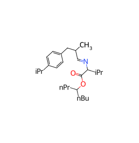 CCCCC(CCC)OC(=O)C(/N=C/C(C)Cc1ccc(C(C)C)cc1)C(C)C